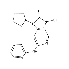 Cn1c(=O)n(C2CCCC2)c2cc(Nc3ccccn3)ncc21